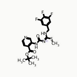 CS/C(=N/C(=O)Nc1cnccc1C(=O)OC(C)(C)C)NCc1cc(F)c(F)c(F)c1